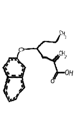 C=C(CC(CCC)Oc1ccc2ccccc2c1)C(=O)O